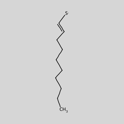 CCCCCCCCC=C[S]